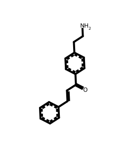 NCCc1ccc(C(=O)C=Cc2ccccc2)cc1